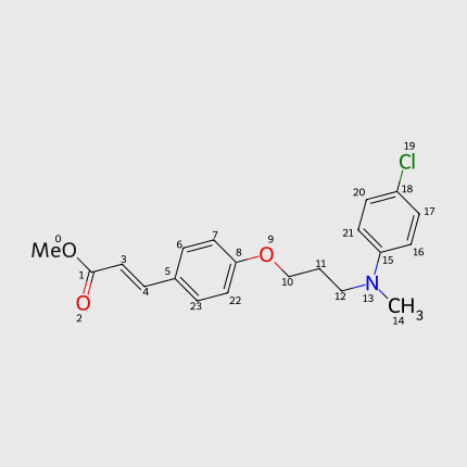 COC(=O)C=Cc1ccc(OCCCN(C)c2ccc(Cl)cc2)cc1